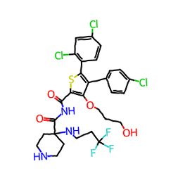 O=C(NC(=O)C1(NCCC(F)(F)F)CCNCC1)c1sc(-c2ccc(Cl)cc2Cl)c(-c2ccc(Cl)cc2)c1OCCCO